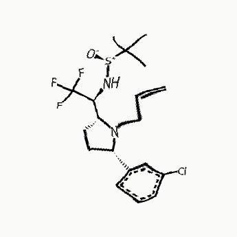 C=CCN1[C@@H]([C@H](N[S@@+]([O-])C(C)(C)C)C(F)(F)F)CC[C@H]1c1cccc(Cl)c1